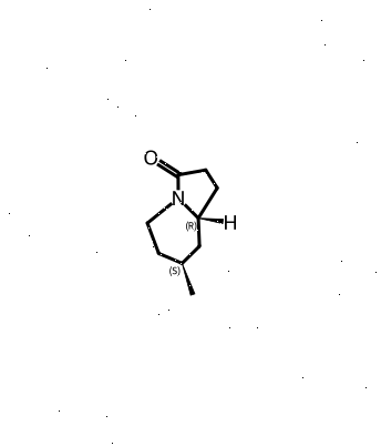 C[C@H]1CCN2C(=O)CC[C@@H]2C1